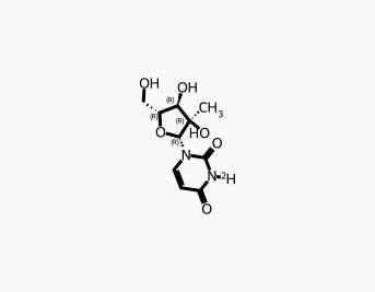 [2H]n1c(=O)ccn([C@@H]2O[C@H](CO)[C@@H](O)[C@@]2(C)O)c1=O